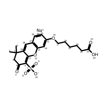 CC1(C)CC(=O)C(S(=O)(=O)[O-])=C2Oc3cc(OCCCCCC(=O)O)ccc3C=C21.[Na+]